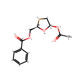 CC(C)(C)C(=O)O[C@@H]1CS[C@H](COC(=O)c2ccccc2)O1